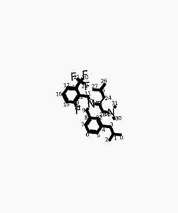 CC(C)Cc1cccc(CN(Cc2c(F)cccc2C(F)(F)F)[C@@H](CC(C)C)CN(C)C)c1